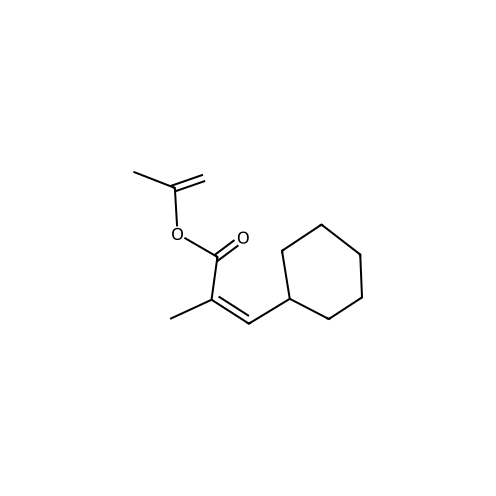 C=C(C)OC(=O)C(C)=CC1CCCCC1